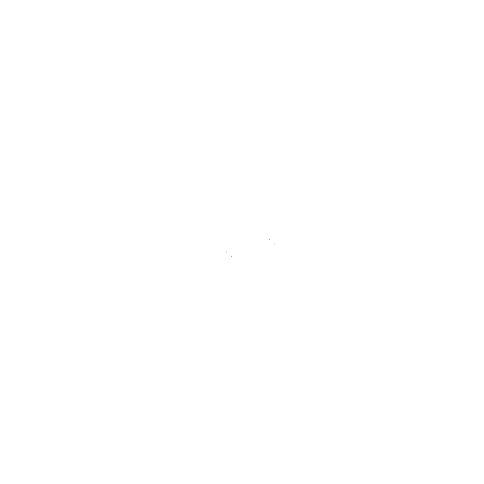 CCCCCC1N=C(c2ccc(OC)cc2OCC)NC1c1ccc(Cl)cc1